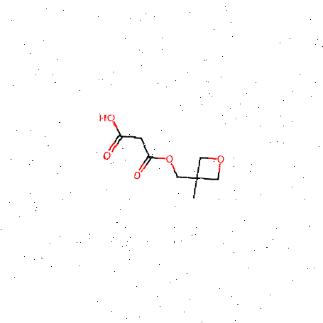 CC1(COC(=O)CC(=O)O)COC1